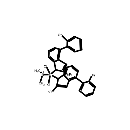 CCCC1=Cc2c(-c3ccccc3C(C)C)cccc2[CH]1[Zr]([Cl])([Cl])([CH]1C(CCC)=Cc2c(-c3ccccc3C(C)C)cccc21)[SiH](C)C